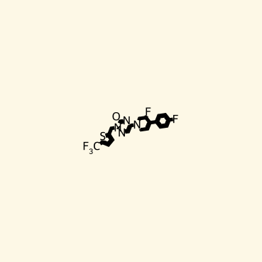 O=c1nc(N2CC=C(c3ccc(F)cc3)C(F)C2)cnn1Cc1ccc(C(F)(F)F)s1